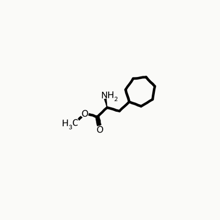 COC(=O)[C@@H](N)CC1CCCCCC1